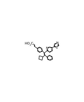 O=C(O)C=Cc1ccc(C(=C(c2ccccc2)C2CCC2)c2ccc(-c3cncs3)cn2)cc1